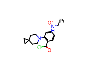 CC(C)C[NH+]([O-])c1ccc(C(=O)Cl)c(N2CCC3(CC2)CC3)c1